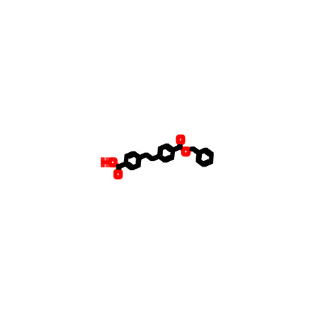 O=C(O)c1ccc(CCc2ccc(C(=O)OCc3ccccc3)cc2)cc1